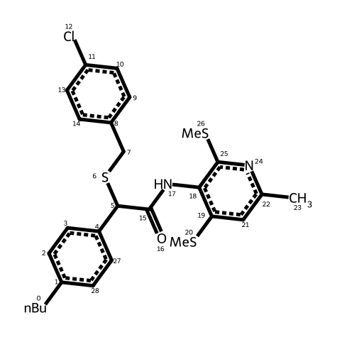 CCCCc1ccc(C(SCc2ccc(Cl)cc2)C(=O)Nc2c(SC)cc(C)nc2SC)cc1